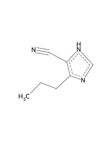 CCCc1nc[nH]c1C#N